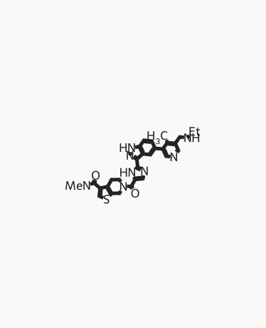 CCNCc1cncc(-c2ccc3[nH]nc(-c4ncc(C(=O)N5CCc6c(C(=O)NC)csc6C5)[nH]4)c3c2)c1C